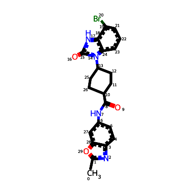 Cc1nc2ccc(NC(=O)C3CCC(n4c(=O)[nH]c5c(Br)cccc54)CC3)cc2o1